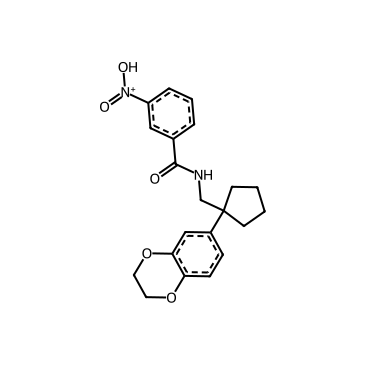 O=C(NCC1(c2ccc3c(c2)OCCO3)CCCC1)c1cccc([N+](=O)O)c1